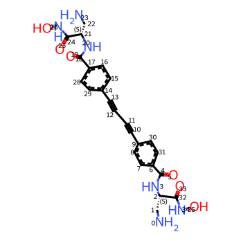 NC[C@H](NC(=O)c1ccc(C#CC#Cc2ccc(C(=O)N[C@@H](CN)C(=O)NO)cc2)cc1)C(=O)NO